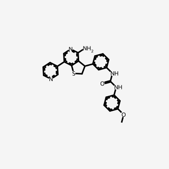 COc1cccc(NC(=O)Nc2cccc(C3CSc4c(-c5cccnc5)cnc(N)c43)c2)c1